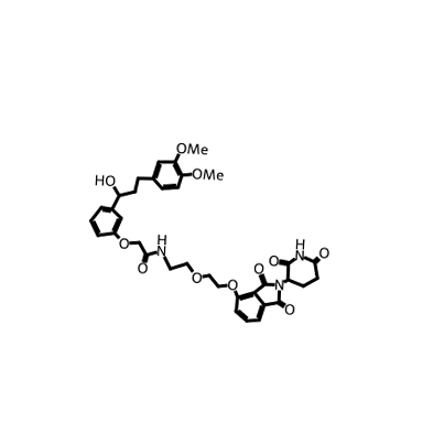 COc1ccc(CCC(O)c2cccc(OCC(=O)NCCOCCOc3cccc4c3C(=O)N(C3CCC(=O)NC3=O)C4=O)c2)cc1OC